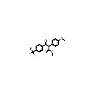 COC(=O)C(C(=O)c1ccc(C(F)(F)F)cc1)c1ccc(OC)cc1